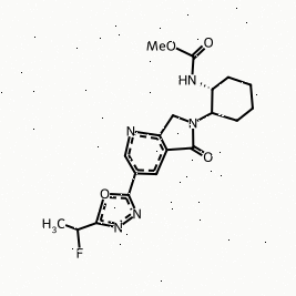 COC(=O)N[C@@H]1CCCCC1N1Cc2ncc(-c3nnc(C(C)F)o3)cc2C1=O